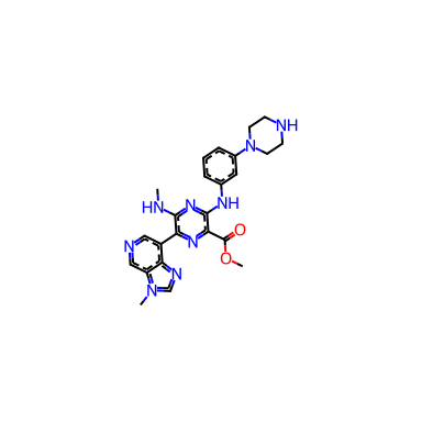 CNc1nc(Nc2cccc(N3CCNCC3)c2)c(C(=O)OC)nc1-c1cncc2c1ncn2C